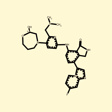 CN(C)Cc1nc(Nc2ccc(-c3cnc4cc(F)ccn34)c3c2C(=O)NC3)ccc1N1CCCO[C@@H](O)C1